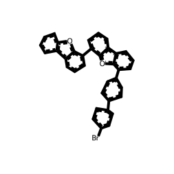 Brc1ccc(-c2ccc(-c3cccc4c3oc3c(-c5cccc6c5oc5ccccc56)cccc34)cc2)cc1